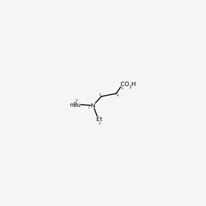 CCCCN(CC)CCC(=O)O